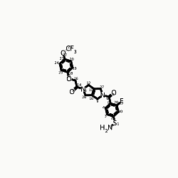 NSc1ccc(C(=O)N2CC3=C(CN(C(=O)COc4ccc(OC(F)(F)F)cc4)C3)C2)c(F)c1